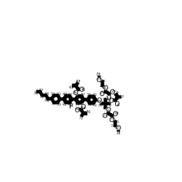 C=C(C)C(=O)OCC(COC(=O)C(=O)OCCOC)(COC(=O)C(=O)OCCOC)COc1ccc(-c2cc(OC(=O)C(=C)C)c(-c3ccc(C4CCC(CCCCC)CC4)cc3F)cc2OC(=O)C(=C)C)cc1